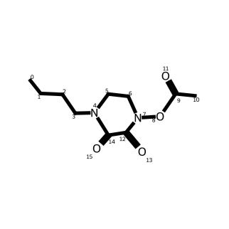 CCCCN1CCN(OC(C)=O)C(=O)C1=O